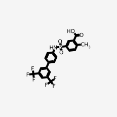 Cc1ccc(S(=O)(=O)Nc2ccc(-c3cc(C(F)(F)F)cc(C(F)(F)F)c3)cc2)cc1C(=O)O